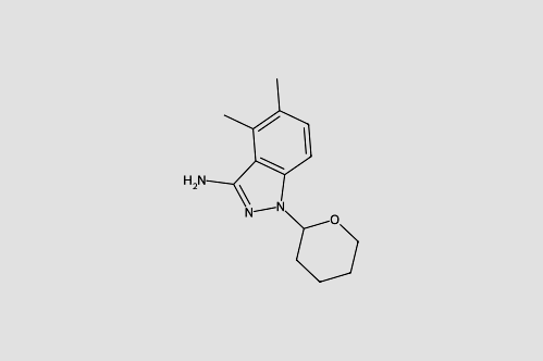 Cc1ccc2c(c(N)nn2C2CCCCO2)c1C